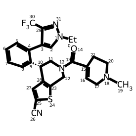 CCn1cc(-c2ccccc2[C@@H]2CN(C(=O)C3=CCN(C)CC3)Cc3sc(C#N)cc32)c(C(F)(F)F)n1